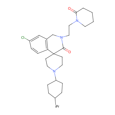 CC(C)C1CCC(N2CCC3(CC2)C(=O)N(CCN2CCCCC2=O)Cc2cc(Cl)ccc23)CC1